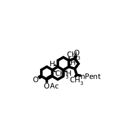 CCCCCC(C)C1CC(=O)[C@@]2(C)CC[C@@H]3[C@@H](CCC4=C(OC(C)=O)C(=O)CC[C@@]43C)[C@H]12